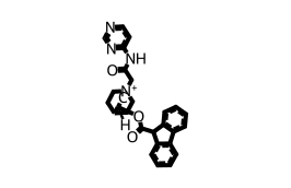 O=C(C[N+]12CCC(CC1)[C@@H](OC(=O)C1c3ccccc3-c3ccccc31)C2)Nc1ccncn1